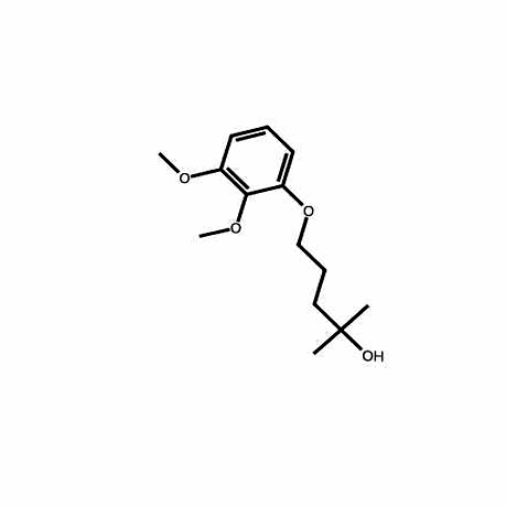 COc1cccc(OCCCC(C)(C)O)c1OC